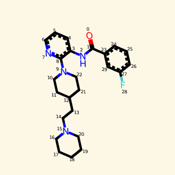 O=C(Nc1cccnc1N1CCC(CCN2CCCCC2)CC1)c1cccc(F)c1